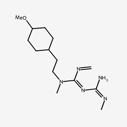 C=N/C(=N\C(N)=N/C)N(C)CCC1CCC(OC)CC1